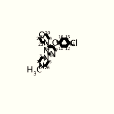 CN1CCN(c2ncc(Oc3ccc(Cl)cc3)c(N3CCOCC3)n2)CC1